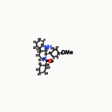 COc1ccc(C2c3[nH]c4ccccc4c3CCN2C(=O)c2ccccc2)cc1